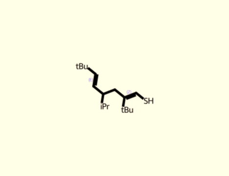 CC(C)C(/C=C/C(C)(C)C)C/C(=C/S)C(C)(C)C